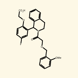 COc1ccccc1COCC(=O)N1CCc2ccccc2C1c1cc(F)ccc1OCC(=O)O